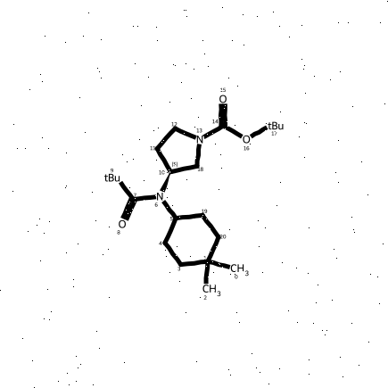 CC1(C)CCC(N(C(=O)C(C)(C)C)[C@H]2CCN(C(=O)OC(C)(C)C)C2)CC1